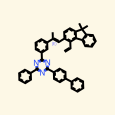 C=Cc1c(/C=C(\C)c2cccc(-c3nc(-c4ccccc4)nc(-c4ccc(-c5ccccc5)cc4)n3)c2)ccc2c1-c1ccccc1C2(C)C